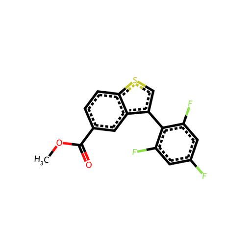 COC(=O)c1ccc2scc(-c3c(F)cc(F)cc3F)c2c1